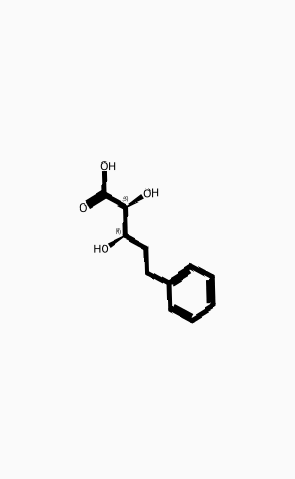 O=C(O)[C@@H](O)[C@H](O)CCc1ccccc1